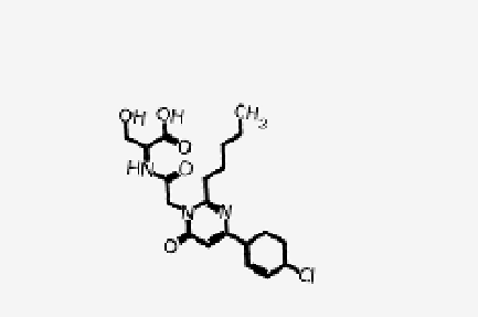 CCCCCc1nc(C2C=CC(Cl)CC2)cc(=O)n1CC(=O)NC(CO)C(=O)O